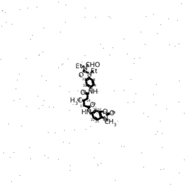 CCN(C=O)C(=O)N(CC)c1ccc(NC(=O)CC(C)CC(=O)Nc2ccc3c(c2)oc(=O)n3C)cc1